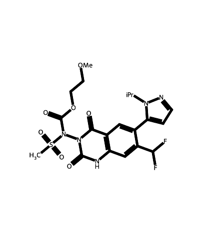 COCCOC(=O)N(n1c(=O)[nH]c2cc(C(F)F)c(-c3ccnn3C(C)C)cc2c1=O)S(C)(=O)=O